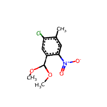 COC(OC)c1cc(Cl)c(C)cc1[N+](=O)[O-]